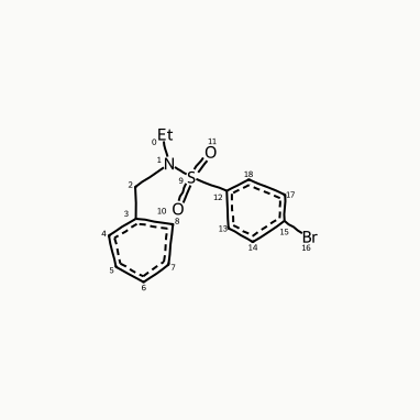 CCN(Cc1ccccc1)S(=O)(=O)c1ccc(Br)cc1